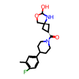 Cc1cc(C2CCN(C(=O)[C@H]3C[C@]4(COC(O)N4)C3)CC2)ccc1F